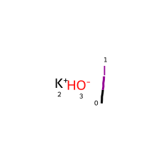 CI.[K+].[OH-]